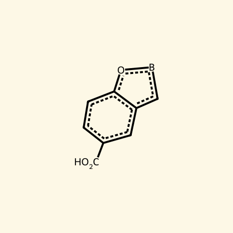 O=C(O)c1ccc2obcc2c1